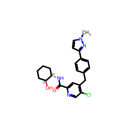 Cn1ccc(-c2ccc(Cc3cc(C(=O)N[C@H]4CCCC[C@@H]4O)ncc3Cl)cc2)n1